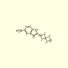 Nc1ccc2oc(N3CC4(COC4)C3)nc2c1